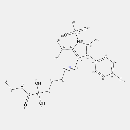 CCOC(=O)C(O)(O)CCC/C=C/c1c(-c2ccc(F)cc2)c(C)n(S(C)(=O)=O)c1C(C)C